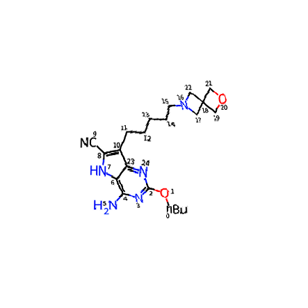 CCCCOc1nc(N)c2[nH]c(C#N)c(CCCCCN3CC4(COC4)C3)c2n1